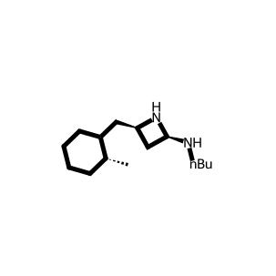 CCCCN[C@H]1C[C@@H](CC2CCCC[C@H]2C)N1